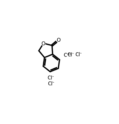 O=C1OCc2ccccc21.[C+4].[Cl-].[Cl-].[Cl-].[Cl-]